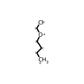 CCC[CH]OCCl